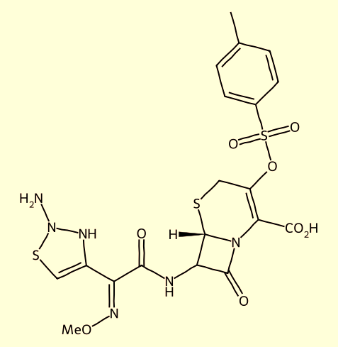 CON=C(C(=O)NC1C(=O)N2C(C(=O)O)=C(OS(=O)(=O)c3ccc(C)cc3)CS[C@@H]12)C1=CSN(N)N1